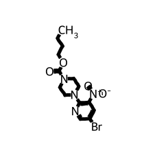 CCCCOC(=O)N1CCN(c2ncc(Br)cc2[N+](=O)[O-])CC1